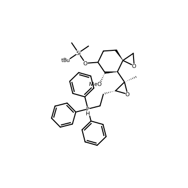 CO[C@@H]1C(O[Si](C)(C)C(C)(C)C)CC[C@]2(CO2)[C@H]1[C@@]1(C)O[C@@H]1CC[PH](c1ccccc1)(c1ccccc1)c1ccccc1